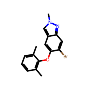 Cc1cccc(C)c1Oc1cc2cn(C)nc2cc1Br